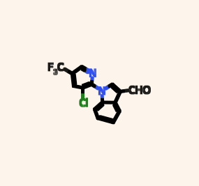 O=Cc1cn(-c2ncc(C(F)(F)F)cc2Cl)c2ccccc12